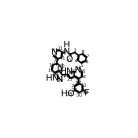 O=C(Cc1ccccc1)Nc1cncc(-c2ccc3[nH]nc(-c4cc5c(-c6cc(O)cc(F)c6)ccnc5[nH]4)c3n2)c1